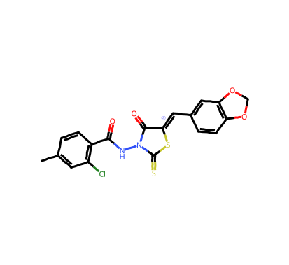 Cc1ccc(C(=O)NN2C(=O)/C(=C/c3ccc4c(c3)OCO4)SC2=S)c(Cl)c1